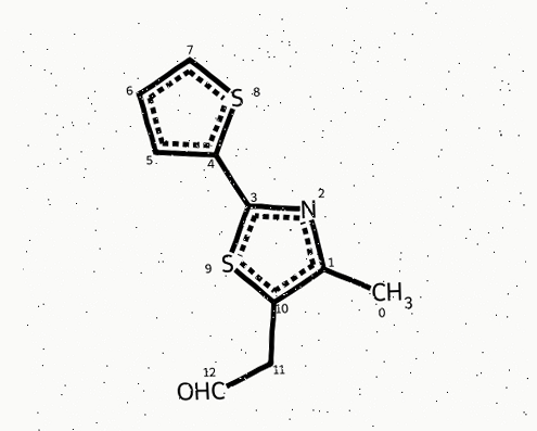 Cc1nc(-c2cccs2)sc1CC=O